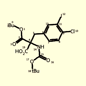 CCC(C)OC(=O)C(Cc1ccc(Cl)c(I)c1)(NC(=O)OC(C)(C)C)C(=O)O